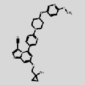 COc1ccc(OC2CCN(c3ccc(-c4cc(OCC5(O)CC5)cc5ncc(C#N)n45)cn3)CC2)cn1